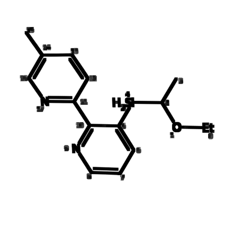 CCOC(C)[SiH2]c1cccnc1-c1ccc(C)cn1